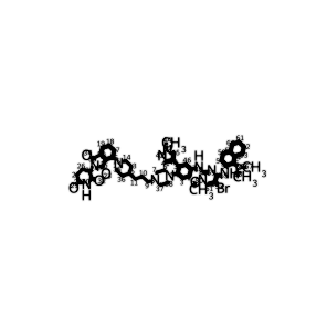 COc1cc(N2CCN(CCCC3CCN(c4cccc5c4C(=O)N(C4CCC(=O)NC4=O)C5=O)CC3)CC2)c(-c2cnn(C)c2)cc1Nc1ncc(Br)c(Nc2ccc3ccccc3c2P(C)C)n1